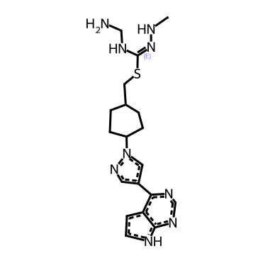 CN/N=C(\NCN)SCC1CCC(n2cc(-c3ncnc4[nH]ccc34)cn2)CC1